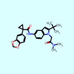 CN(C)C(=O)Cn1c(C(C)(C)C)cc2cc(NC(=O)C3(c4ccc5c(c4)OCO5)CC3)ccc21